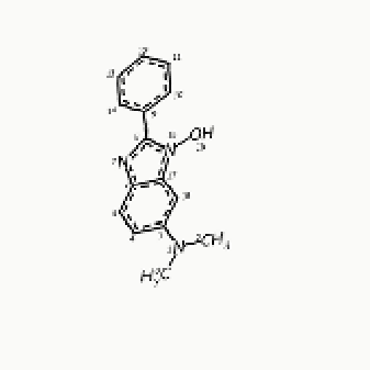 CN(C)c1ccc2nc(-c3ccccc3)n(O)c2c1